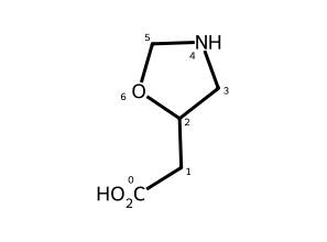 O=C(O)CC1CNCO1